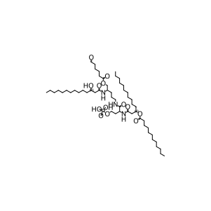 CCCCCCCCCCCC(=O)O[C@H](CCCCCCCCCCC)CC(=O)NC(CCOP(=O)(O)O)C(=O)NCCCC(COC(=O)CCCCC=O)NC(=O)C[C@H](O)CCCCCCCCCCC